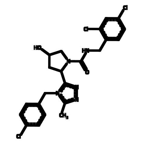 Cc1nnc(C2CC(O)CN2C(=O)NCc2ccc(Cl)cc2Cl)n1Cc1ccc(Cl)cc1